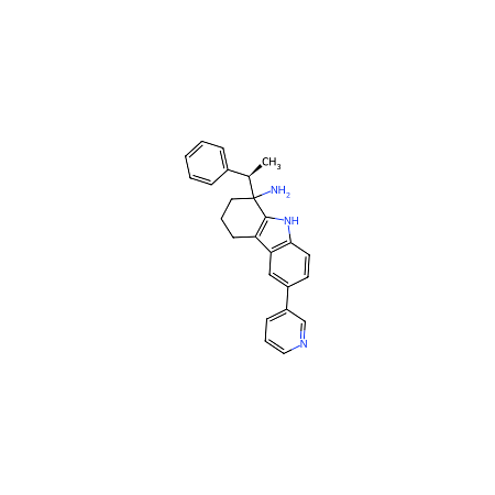 C[C@H](c1ccccc1)C1(N)CCCc2c1[nH]c1ccc(-c3cccnc3)cc21